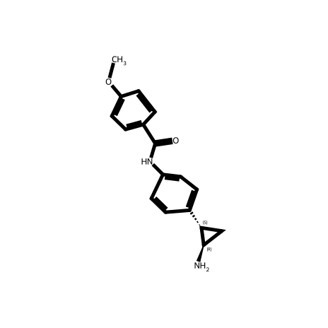 COc1ccc(C(=O)Nc2ccc([C@@H]3C[C@H]3N)cc2)cc1